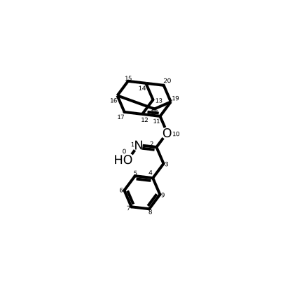 ON=C(Cc1ccccc1)OC1=C2CC3CC(C2)CC1C3